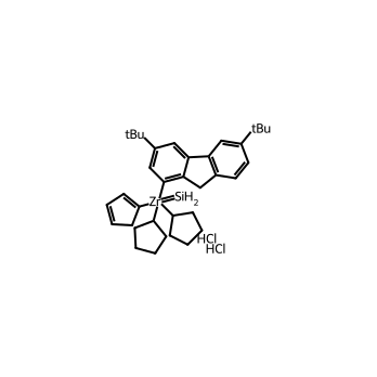 CC(C)(C)c1ccc2c(c1)-c1cc(C(C)(C)C)c[c]([Zr](=[SiH2])([C]3=CC=CC3)([CH]3CCCC3)[CH]3CCCC3)c1C2.Cl.Cl